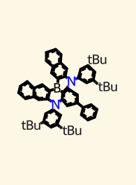 CC(C)(C)c1cc(N2c3cc4ccccc4cc3B3c4cc5ccccc5cc4N(c4cc(C(C)(C)C)cc(C(C)(C)C)c4)c4cc(-c5ccccc5)cc2c43)cc(C(C)(C)C)c1